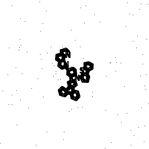 c1cnc2c(c1)ccc1ccc(-c3ccc4c(c3)c3cc5c6ccccc6c6ccccc6c5cc3n4-c3cccc4c3sc3ccccc34)nc12